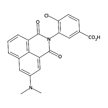 CN(C)c1cc2c3c(cccc3c1)C(=O)N(c1cc(C(=O)O)ccc1Cl)C2=O